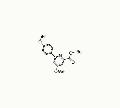 CCC(C)OC(=O)c1cc(OC)cc(-c2ccc(OC(C)C)cc2)n1